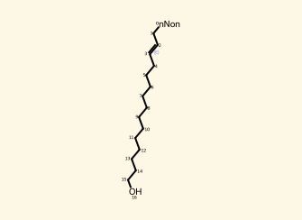 CCCCCCCCCC/C=C/CCCCCCCCCCCCO